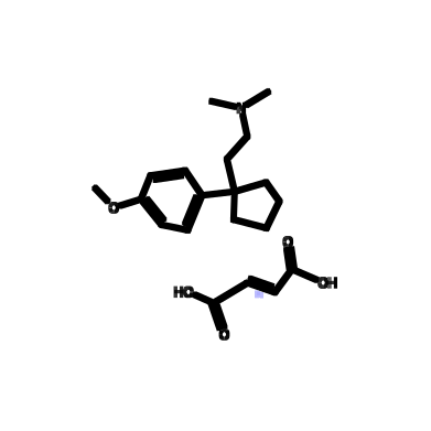 COc1ccc(C2(CCN(C)C)CCCC2)cc1.O=C(O)/C=C/C(=O)O